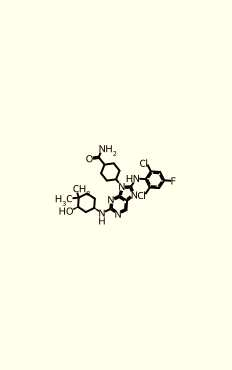 CC1(C)CC[C@@H](Nc2ncc3nc(Nc4c(Cl)cc(F)cc4Cl)n(C4CCC(C(N)=O)CC4)c3n2)C[C@H]1O